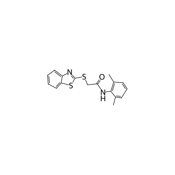 Cc1cccc(C)c1NC(=O)CSc1nc2ccccc2s1